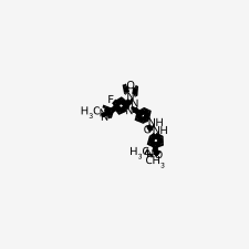 CN(C)C(=O)c1ccc(NC(=O)Nc2ccc(-c3nc(N4CCOCC4)c4cc(F)c(-c5cnn(C)c5)cc4n3)cc2)cc1